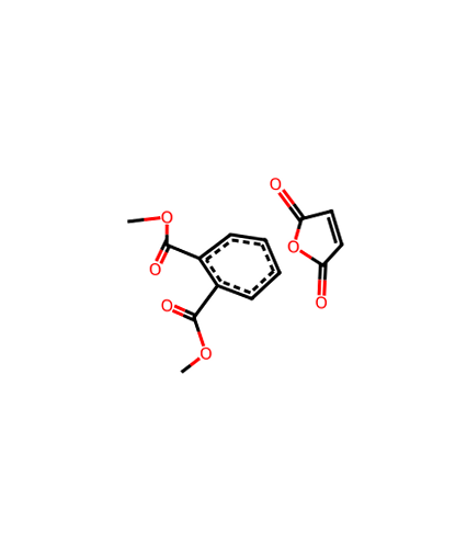 COC(=O)c1ccccc1C(=O)OC.O=C1C=CC(=O)O1